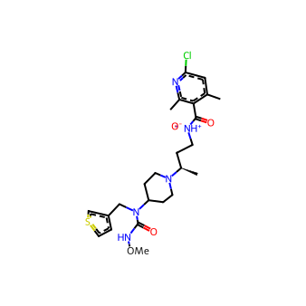 CONC(=O)N(Cc1ccsc1)C1CCN([C@H](C)CC[NH+]([O-])C(=O)c2c(C)cc(Cl)nc2C)CC1